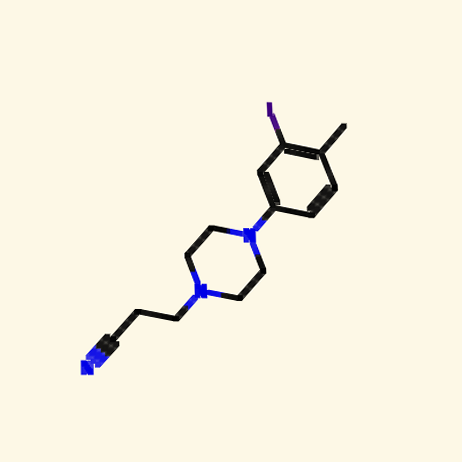 Cc1ccc(N2CCN(CCC#N)CC2)cc1I